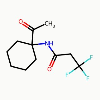 CC(=O)C1(NC(=O)CC(F)(F)F)CCCCC1